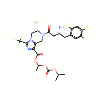 CC(C)OC(=O)OC(C)OC(=O)c1nc(C(F)(F)F)n2c1CN(C(=O)C[C@H](N)Cc1cc(F)c(F)cc1F)CC2.Cl